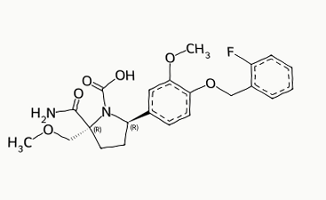 COC[C@@]1(C(N)=O)CC[C@H](c2ccc(OCc3ccccc3F)c(OC)c2)N1C(=O)O